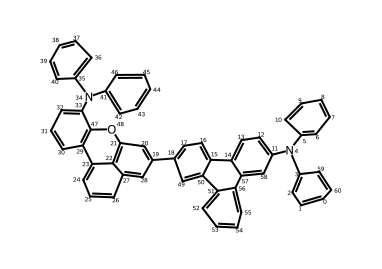 c1ccc(N(c2ccccc2)c2ccc3c4ccc(-c5cc6c7c(cccc7c5)-c5cccc(N(c7ccccc7)c7ccccc7)c5O6)cc4c4ccccc4c3c2)cc1